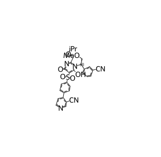 COC[C@@H](c1cccc(C#N)c1)n1c(COC(C)C)nc(=O)c(S(=O)(=O)c2ccc(-c3ccncc3C#N)cc2)c1O